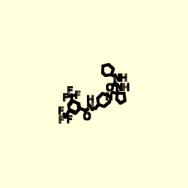 O=C(NC1CCCCC1)NC1(CN2CCC(CNC(=O)c3cc(C(F)(F)F)cc(C(F)(F)F)c3)CC2)CCCC1